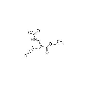 CCOC(=O)C(CN=[N+]=N)=NNC(=O)[O-]